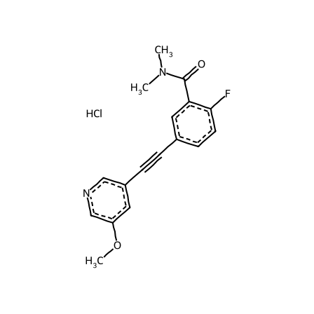 COc1cncc(C#Cc2ccc(F)c(C(=O)N(C)C)c2)c1.Cl